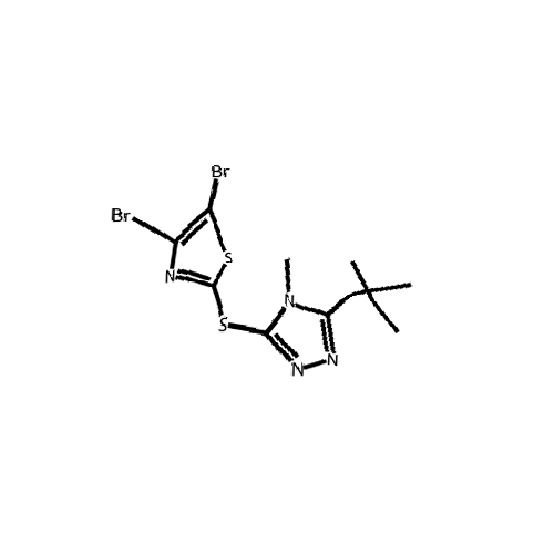 Cn1c(Sc2nc(Br)c(Br)s2)nnc1C(C)(C)C